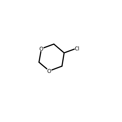 ClC1COCOC1